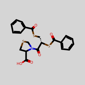 O=C(SC[C@H](SC(=O)c1ccccc1)C(=O)N1CSCC1C(=O)O)c1ccccc1